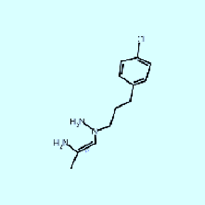 C/C(N)=C/N(N)CCCc1ccc(Cl)cc1